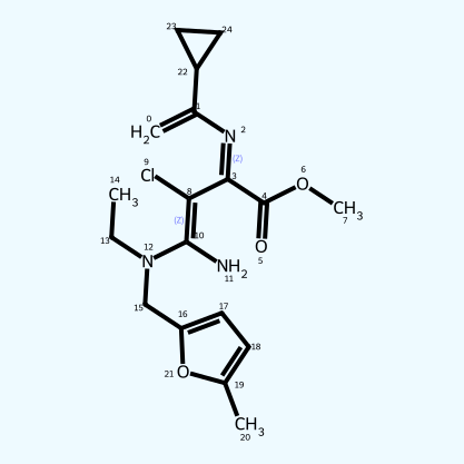 C=C(/N=C(C(=O)OC)\C(Cl)=C(/N)N(CC)Cc1ccc(C)o1)C1CC1